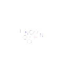 CN1c2ccccc2C(O)(c2ccccc2)c2cc(OCCN3CCCCC3)ccc21